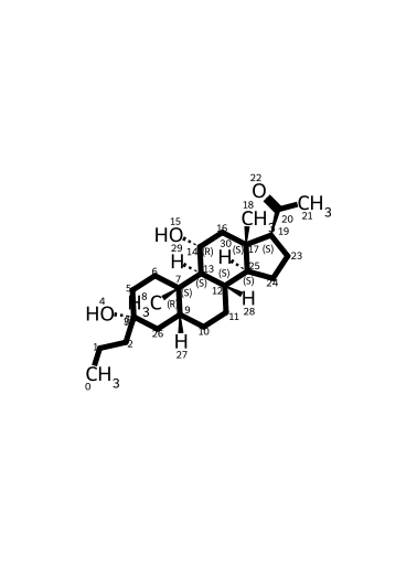 CCC[C@@]1(O)CC[C@@]2(C)[C@H](CC[C@@H]3[C@@H]2[C@H](O)C[C@]2(C)[C@@H](C(C)=O)CC[C@@H]32)C1